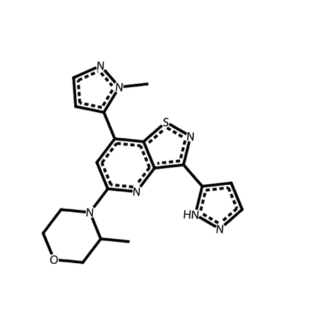 CC1COCCN1c1cc(-c2ccnn2C)c2snc(-c3ccn[nH]3)c2n1